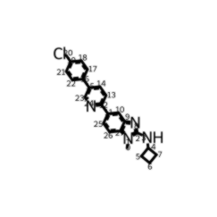 Cn1c(NC2CCC2)nc2cc(-c3ccc(-c4ccc(Cl)cc4)cn3)ccc21